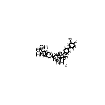 Cc1ccc(-c2ccc([C@@H](Oc3cc(N4CCC5(CC4)CNC(C(=O)O)C5)nc(N)n3)C(F)(F)F)cc2)cc1C